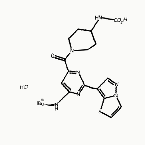 CC[C@H](C)Nc1cc(C(=O)N2CCC(NC(=O)O)CC2)nc(-c2cnn3ccsc23)n1.Cl